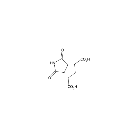 O=C(O)CCCC(=O)O.O=C1CCC(=O)N1